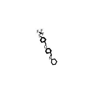 FC(F)(F)Sc1ccc(COc2ccc(C=NC3CCCCC3)cc2)cc1